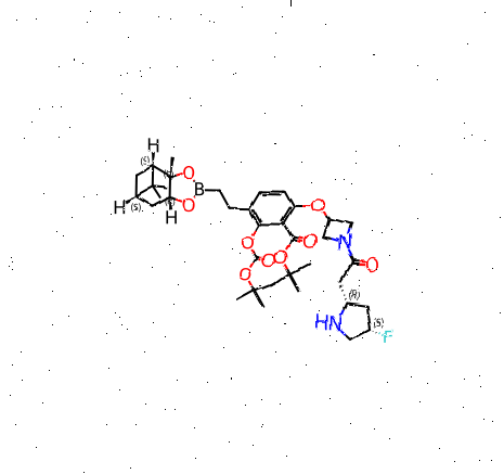 CC(C)(C)OC(=O)Oc1c(CCB2O[C@@H]3C[C@@H]4C[C@@H](C4(C)C)[C@]3(C)O2)ccc(OC2CN(C(=O)C[C@@H]3C[C@H](F)CN3)C2)c1C(=O)OC(C)(C)C